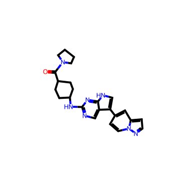 O=C(C1CCC(Nc2ncc3c(-c4ccn5nccc5c4)c[nH]c3n2)CC1)N1CCCC1